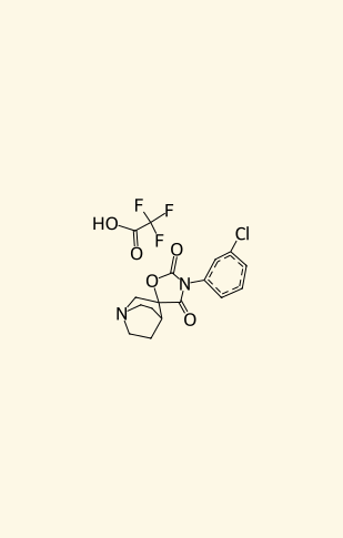 O=C(O)C(F)(F)F.O=C1OC2(CN3CCC2CC3)C(=O)N1c1cccc(Cl)c1